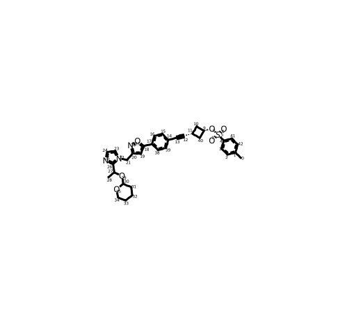 Cc1ccc(S(=O)(=O)O[C@H]2C[C@@H](C#Cc3ccc(-c4cc(Cn5ccnc5C(C)OC5CCCCO5)no4)cc3)C2)cc1